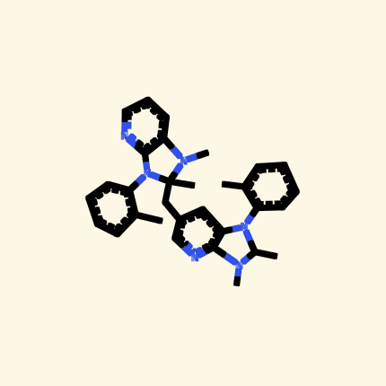 Cc1ccccc1N1c2cc(CC3(C)N(C)c4cccnc4N3c3ccccc3C)cnc2N(C)C1C